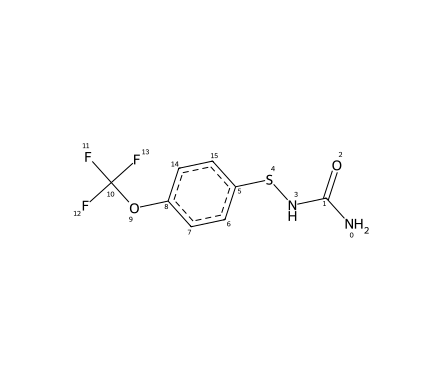 NC(=O)NSc1ccc(OC(F)(F)F)cc1